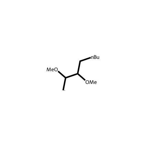 [CH2]C(OC)C(CCCCC)OC